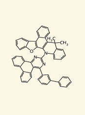 CC1(C)c2ccccc2N(c2nc(-c3cccc(-c4ccccc4)c3)c3c4ccccc4c4ccccc4c3n2)c2c1c1ccccc1c1c2oc2ccccc21